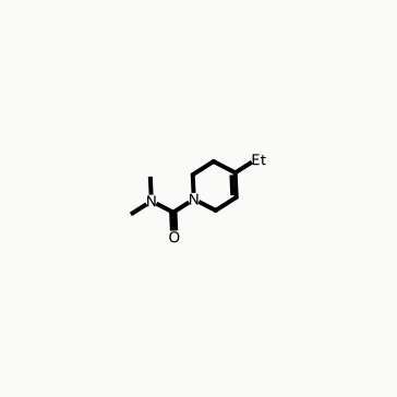 CCC1=CCN(C(=O)N(C)C)CC1